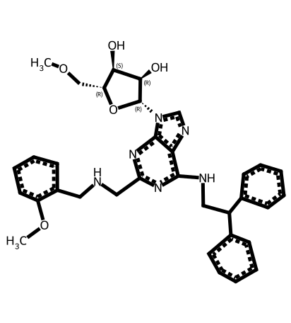 COC[C@H]1O[C@@H](n2cnc3c(NCC(c4ccccc4)c4ccccc4)nc(CNCc4ccccc4OC)nc32)[C@H](O)[C@@H]1O